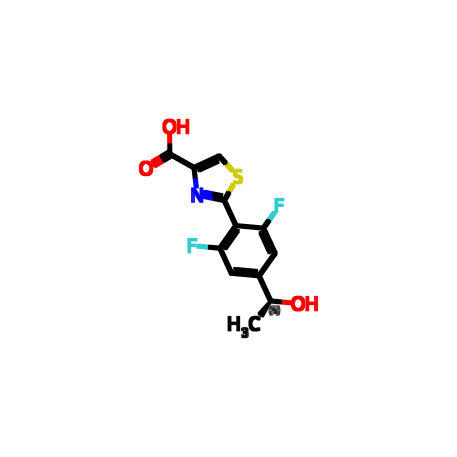 C[C@H](O)c1cc(F)c(-c2nc(C(=O)O)cs2)c(F)c1